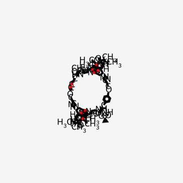 CN[C@@H](C)C(=O)N[C@H](C(=O)N1CCC2[C@H]1C(=O)N[C@@H](Cc1ccc3ccccc3c1)C(=O)N[C@H](C(=O)NS(=O)(=O)C1CC1)Cc1ccc(cc1)OCc1cn(nn1)C1CCN(C(=O)[C@@H](NC(=O)[C@H](C)NC)C(C)(C)C)[C@@H]1C(=O)N[C@@H](Cc1ccc3ccccc3c1)C(=O)N[C@H](C(=O)OC)Cc1ccc(cc1)OCc1cn2nn1)C(C)(C)C